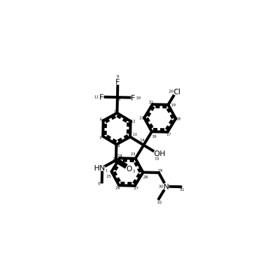 CNC(=O)c1ccc(C(F)(F)F)cc1C(O)(c1ccc(Cl)cc1)c1ccccc1CN(C)C